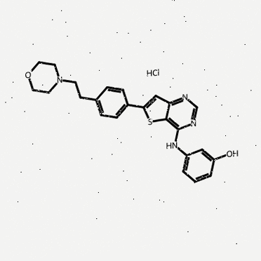 Cl.Oc1cccc(Nc2ncnc3cc(-c4ccc(CCN5CCOCC5)cc4)sc23)c1